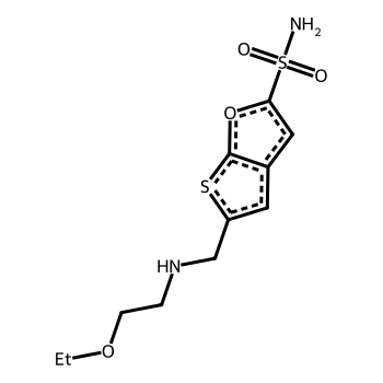 CCOCCNCc1cc2cc(S(N)(=O)=O)oc2s1